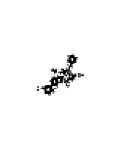 CCOCC(C)(C[C@@H](Cc1ccc(-c2cc(Cl)ccc2F)cc1)NC(=O)c1cc(O)no1)C(=O)OCc1ccccc1